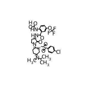 CC(C)N(C)[C@@H]1CC[C@H](N2CC[C@H](NC(=O)c3cc(OC(F)(F)F)ccc3NC(=O)O)C2=O)[C@H](CS(=O)(=O)c2ccc(Cl)cc2)C1